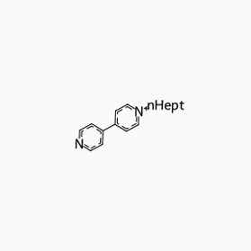 CCCCCCC[n+]1ccc(-c2ccncc2)cc1